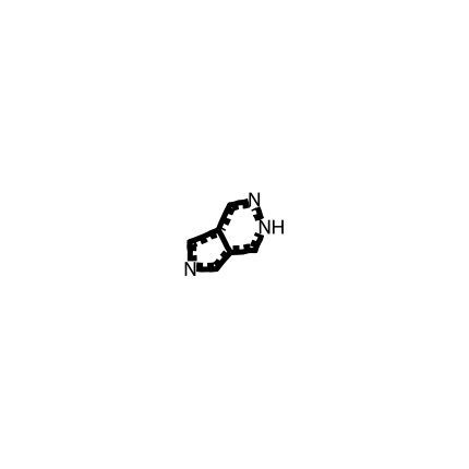 c1ncc2c[nH]ncc1-2